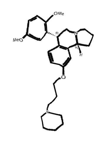 COc1ccc(OC)c([C@@H]2CN3CCC[C@@H]3c3cc(OCCCN4CCCCC4)ccc32)c1